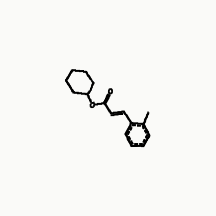 Cc1ccccc1/C=C/C(=O)OC1CCCCC1